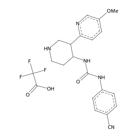 COc1ccc(C2CNCCC2NC(=O)Nc2ccc(C#N)cc2)nc1.O=C(O)C(F)(F)F